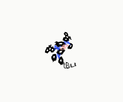 Cc1cc2c3c(c1)N(c1ccc4c(c1)C(C)(C)c1ccccc1-4)c1cc(N(c4ccccc4)c4ccc(C(C)(C)C)cc4)ccc1B3c1ccccc1N2c1ccc2c(c1)C(C)(C)c1ccccc1-2